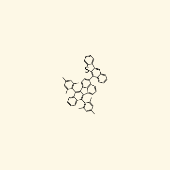 Cc1cc(C)c(-c2c3c(c(-c4c(C)cc(C)cc4C)c4ccccc24)-c2ccc(-c4c5ccccc5cc5c4sc4ccccc45)c4cccc-3c24)c(C)c1